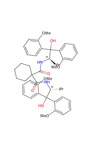 COc1ccccc1C(O)(c1ccccc1OC)[C@H](NC(=O)C1(C(=O)N[C@H](C(C)C)C(O)(c2ccccc2OC)c2ccccc2OC)CCCCC1)C(C)C